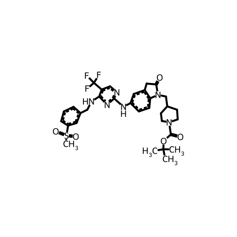 CC(C)(C)OC(=O)N1CCC(CN2C(=O)Cc3cc(Nc4ncc(C(F)(F)F)c(NCc5cccc(S(C)(=O)=O)c5)n4)ccc32)CC1